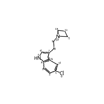 Clc1ccc2[nH]cc(CCN3CCC3)c2c1